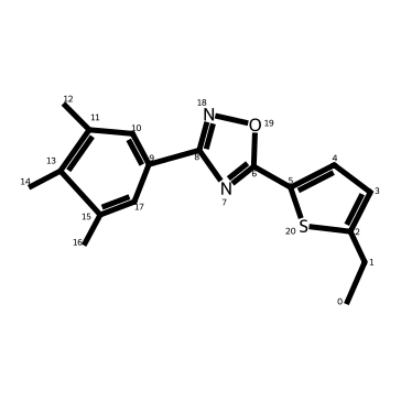 CCc1ccc(-c2nc(-c3cc(C)c(C)c(C)c3)no2)s1